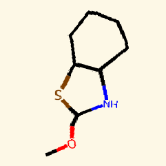 COC1NC2CCCCC2S1